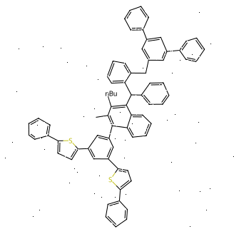 CCCCc1c(C)c(-c2cc(-c3ccc(-c4ccccc4)s3)cc(-c3ccc(-c4ccccc4)s3)c2)c2ccccc2c1C(c1ccccc1)c1ccccc1Cc1cc(-c2ccccc2)cc(-c2ccccc2)c1